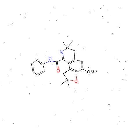 COc1cc2c(c3c1OC(C)(C)C3)C(C(=O)Nc1ccccc1)=NC(C)(C)C2